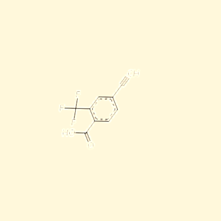 C#Cc1ccc(C(=O)O)c(C(F)(F)F)c1